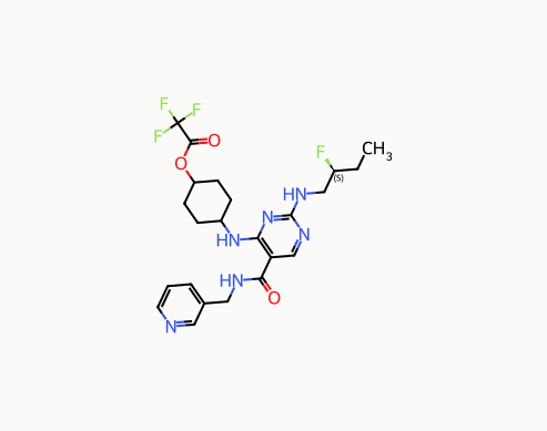 CC[C@H](F)CNc1ncc(C(=O)NCc2cccnc2)c(NC2CCC(OC(=O)C(F)(F)F)CC2)n1